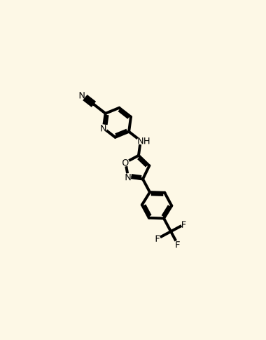 N#Cc1ccc(Nc2cc(-c3ccc(C(F)(F)F)cc3)no2)cn1